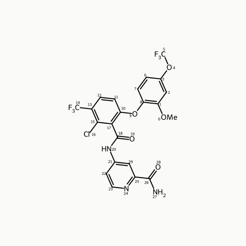 COc1cc(OC(F)(F)F)ccc1Oc1ccc(C(F)(F)F)c(Cl)c1C(=O)Nc1ccnc(C(N)=O)c1